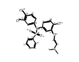 CN(C)CCOc1cc(N(c2ccc(Cl)c(Cl)c2)S(=O)(=O)c2ccccc2)ccc1Cl